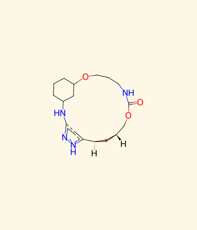 O=C1NCCCOC2CCCC(C2)Nc2cc([nH]n2)[C@H]2C[C@H](CO1)C2